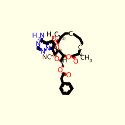 C[C@H]1CCCCCC[C@H](C)C(=O)O[C@@H]2[C@H](OC1=O)[C@@H](COC(=O)Cc1ccccc1)O[C@@]2(C#N)c1ccc2c(N)ncnn12